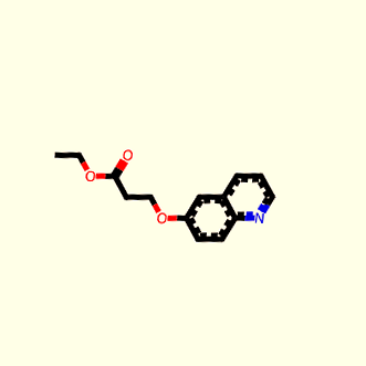 CCOC(=O)CCOc1ccc2ncccc2c1